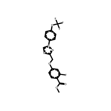 COC(=O)c1ccc(OCc2ncn(-c3ccc(OC(F)(F)F)cc3)n2)cc1F